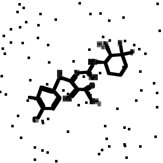 Cc1cc(N/C(=N/C(=N)N[C@@H]2CCCC(F)(F)[C@@H]2N)C(=N)C(N)=O)ccc1Cl